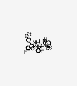 CCO[C@H]1CC[C@H]([C@H](c2ccc(F)cc2)[C@H](N)C(=O)Nc2cccc(F)c2CC[C@H]2CN[C@@H]3CCCS(=O)(=O)N2C3)CC1